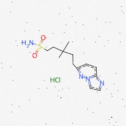 CC(C)(CCc1ccc2nccn2n1)CCS(N)(=O)=O.Cl